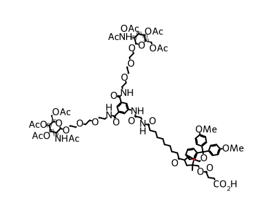 COc1ccc(C(OCC2(C)CC(C(=O)CCCCCCCCC(=O)NCC(=O)Nc3cc(C(=O)NCCOCCOCCOC4O[C@H](COC(C)=O)[C@H](OC(C)=O)[C@H](OC(C)=O)[C@H]4NC(C)=O)cc(C(=O)NCCOCCOCCOC4O[C@H](COC(C)=O)[C@H](OC(C)=O)[C@H](OC(C)=O)[C@H]4NC(C)=O)c3)CC2(C)COC(=O)CCC(=O)O)(c2ccccc2)c2ccc(OC)cc2)cc1